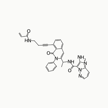 C=CC(=O)NCCC#Cc1cccc2cc(C(C)NC(=O)c3c(N)nc4cccnn34)n(-c3ccccc3)c(=O)c12